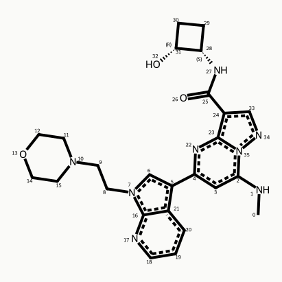 CNc1cc(-c2cn(CCN3CCOCC3)c3ncccc23)nc2c(C(=O)N[C@H]3CC[C@H]3O)cnn12